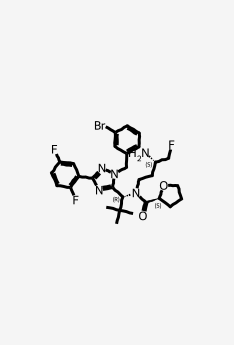 CC(C)(C)[C@H](c1nc(-c2cc(F)ccc2F)nn1Cc1cccc(Br)c1)N(CC[C@H](N)CF)C(=O)[C@@H]1CCCO1